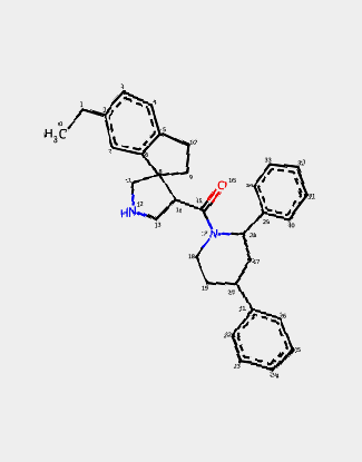 CCc1ccc2c(c1)C1(CC2)CNCC1C(=O)N1CCC(c2ccccc2)CC1c1ccccc1